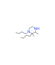 CCCCN1CCNC(C)C1(C)CCCC